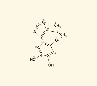 CC1(C)Oc2cc(O)c(O)cc2-c2nn[se]c21